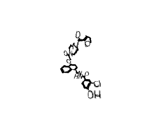 O=C(N/N=C/c1ccc(OCC(=O)N2CCN(C(=O)c3ccco3)CC2)c2ccccc12)c1ccc(O)c(Cl)c1